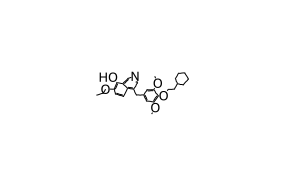 CCOc1ccc2c(Cc3cc(OC)c(OCCC4CCCCC4)c(OC)c3)cncc2c1O